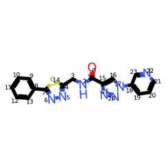 O=C(NCc1nnc(-c2ccccc2)s1)c1cn(-c2cccnc2)nn1